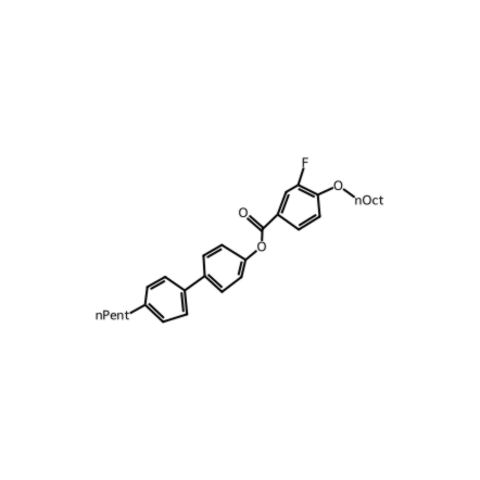 CCCCCCCCOc1ccc(C(=O)Oc2ccc(-c3ccc(CCCCC)cc3)cc2)cc1F